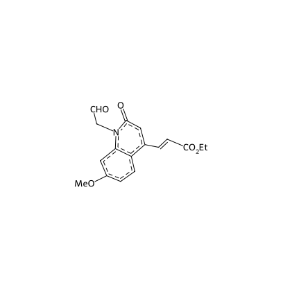 CCOC(=O)/C=C/c1cc(=O)n(CC=O)c2cc(OC)ccc12